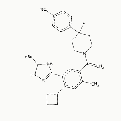 C=C(c1cc(C2=NNC(CCCC)N2)c(C2CCC2)cc1C)N1CCC(F)(c2ccc(C#N)cc2)CC1